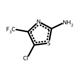 Nc1nc(C(F)(F)F)c(Cl)s1